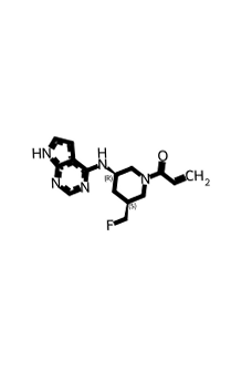 C=CC(=O)N1C[C@@H](CF)C[C@@H](Nc2ncnc3[nH]ccc23)C1